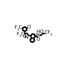 O=C(NCC(O)CC(F)(F)F)c1ccc(C2=NOC(c3cc(Cl)cc(C(F)(F)F)c3)(C(F)(F)F)C2)c2ccccc12